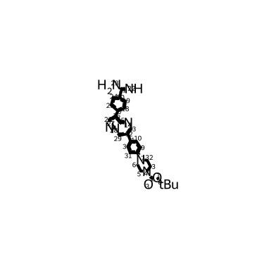 CC(C)(C)OC(=O)N1CCN(c2ccc(-c3cnc4c(-c5ccc(C(=N)N)cc5)cnn4c3)cc2)CC1